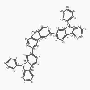 c1ccc(-n2c3ccccc3c3ccc(-c4cc5c(cn4)oc4cnc(-c6ccc7c8nncnc8n(-c8ccccc8)c7c6)cc45)cc32)cc1